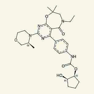 CCN1CC(C)(C)Oc2nc(N3CCOC[C@@H]3C)nc(-c3ccc(NC(=O)O[C@H]4CCC[C@H]4O)cc3)c2C1=O